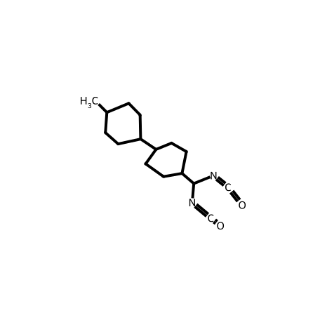 CC1CCC(C2CCC(C(N=C=O)N=C=O)CC2)CC1